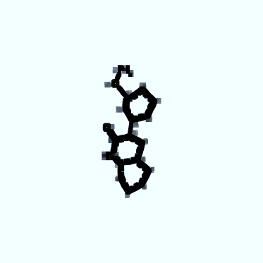 O=c1[nH]c2ccccc2cc1-c1cccc(OP)c1